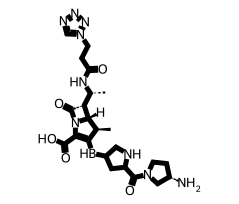 C[C@@H](NC(=O)CCn1cnnn1)[C@H]1C(=O)N2C(C(=O)O)=C(BC3CNC(C(=O)N4CC[C@H](N)C4)C3)[C@H](C)[C@@H]12